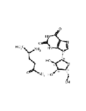 NC(=O)CCC(N)C(=O)O.O=c1[nH]c(=O)c2ncn([C@@H]3O[C@H](CO)[C@@H](O)[C@H]3O)c2[nH]1